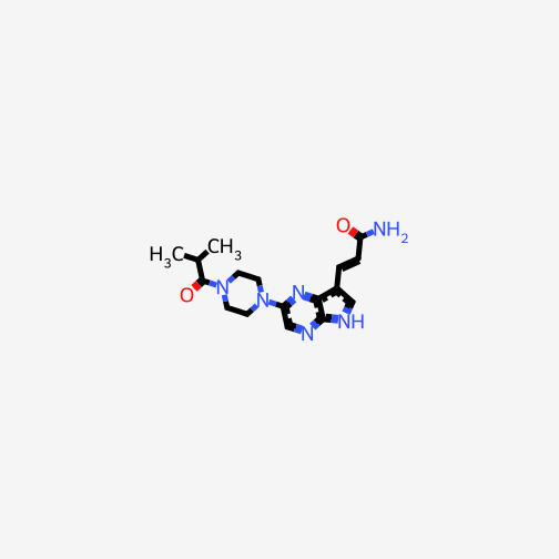 CC(C)C(=O)N1CCN(c2cnc3[nH]cc(/C=C/C(N)=O)c3n2)CC1